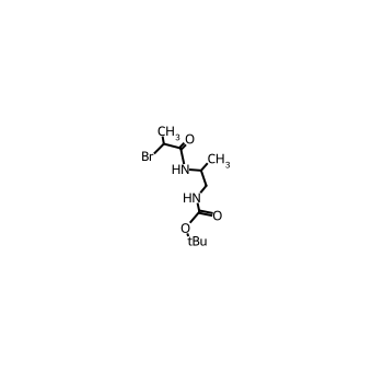 CC(CNC(=O)OC(C)(C)C)NC(=O)C(C)Br